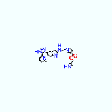 Cc1cccc(-c2[nH]cnc2-c2ccc3ncc(NCCN4CC[C@H](C(=O)OCC5CNC5)C4)cc3c2)n1